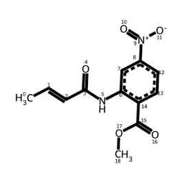 CC=CC(=O)Nc1cc([N+](=O)[O-])ccc1C(=O)OC